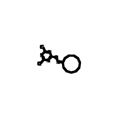 Clc1nc(Cl)nc(ON=C2CCCCCCCCCC2)n1